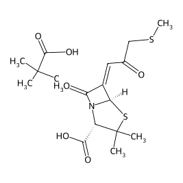 CC(C)(C)C(=O)O.CSCC(=O)C=C1C(=O)N2[C@@H]1SC(C)(C)[C@@H]2C(=O)O